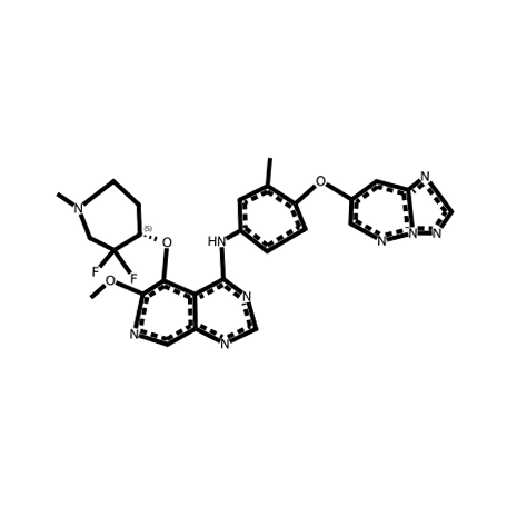 COc1ncc2ncnc(Nc3ccc(Oc4cnn5ncnc5c4)c(C)c3)c2c1O[C@H]1CCN(C)CC1(F)F